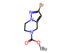 CC(C)(C)OC(=O)N1CCn2nc(Br)cc2C1